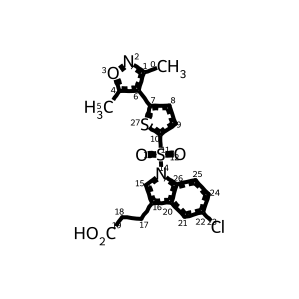 Cc1noc(C)c1-c1ccc(S(=O)(=O)n2cc(CCC(=O)O)c3cc(Cl)ccc32)s1